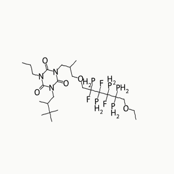 CCCn1c(=O)n(CC(C)COCC(F)(P)C(F)(P)C(F)(P)C(P)(P)COCC)c(=O)n(CC(C)C(C)(C)C)c1=O